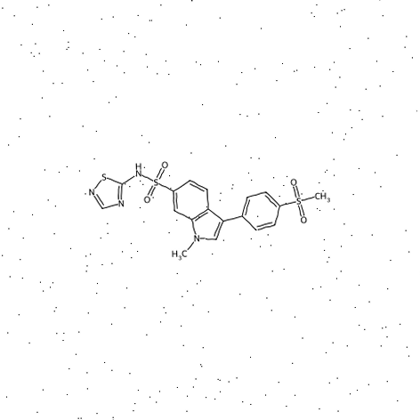 Cn1cc(-c2ccc(S(C)(=O)=O)cc2)c2ccc(S(=O)(=O)Nc3ncns3)cc21